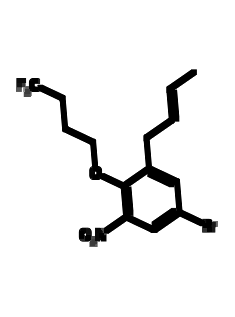 CC=CCc1cc(Br)cc([N+](=O)[O-])c1OCCCC(F)(F)F